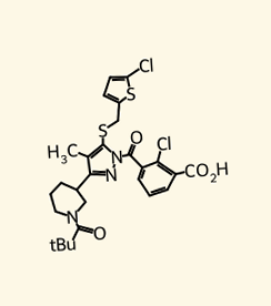 Cc1c(C2CCCN(C(=O)C(C)(C)C)C2)nn(C(=O)c2cccc(C(=O)O)c2Cl)c1SCc1ccc(Cl)s1